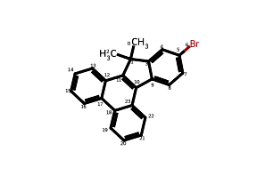 CC1(C)c2cc(Br)ccc2-c2c1c1ccccc1c1ccccc21